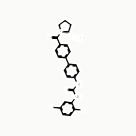 O=C(Nc1ccc(-c2ccc(C(=O)N3CCC[C@@H]3C(=O)O)cc2)cc1)Nc1cc(Cl)ccc1Cl